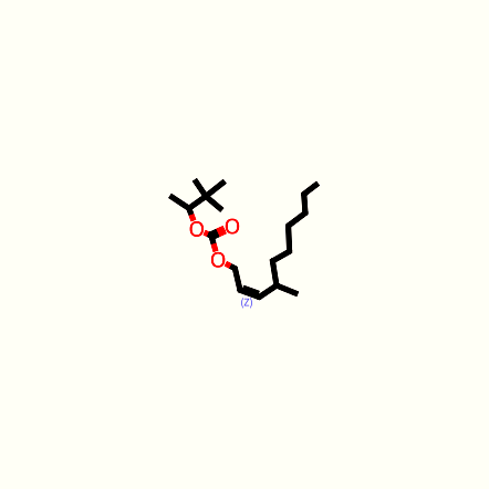 CCCCCCC(C)/C=C\COC(=O)OC(C)C(C)(C)C